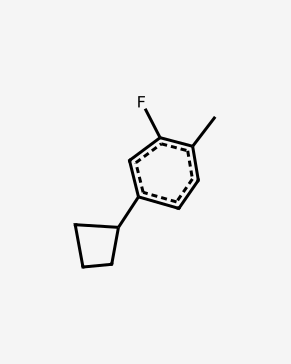 Cc1ccc(C2CCC2)cc1F